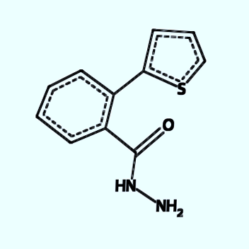 NNC(=O)c1ccccc1-c1cccs1